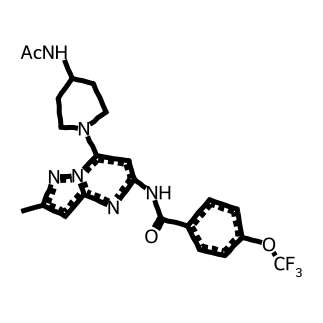 CC(=O)NC1CCN(c2cc(NC(=O)c3ccc(OC(F)(F)F)cc3)nc3cc(C)nn23)CC1